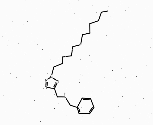 CCCCCCCCCCCCn1nnc(CNCc2ccccc2)n1